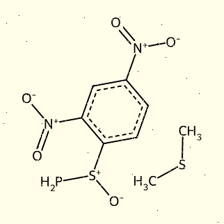 CSC.O=[N+]([O-])c1ccc([S+]([O-])P)c([N+](=O)[O-])c1